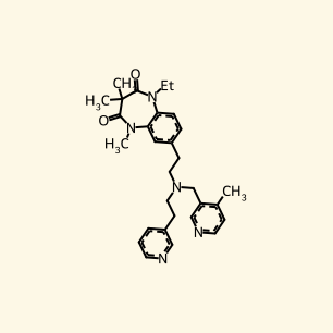 CCN1C(=O)C(C)(C)C(=O)N(C)c2cc(CCN(CCc3cccnc3)Cc3cnccc3C)ccc21